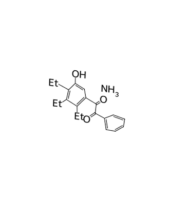 CCc1c(O)cc(C(=O)C(=O)c2ccccc2)c(CC)c1CC.N